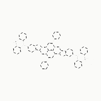 CC1(C)c2ccccc2N(c2ccc3c(c2)oc2c3cc3c(-c4ccccc4)cc4c5oc6cc(N7c8ccccc8C(C)(C)c8ccccc87)ccc6c5cc5c(-c6ccccc6)cc2c3c54)c2ccccc21